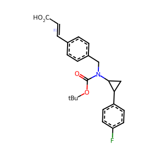 CC(C)(C)OC(=O)N(Cc1ccc(/C=C/C(=O)O)cc1)C1CC1c1ccc(F)cc1